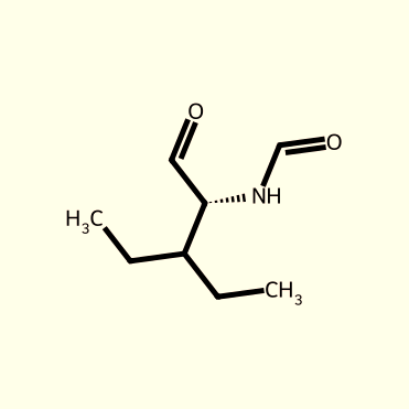 CCC(CC)[C@H](C=O)NC=O